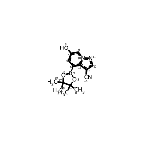 CC1(C)OB(c2cc(O)cn3ncc(C#N)c23)OC1(C)C